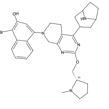 CN1CCC[C@H]1COc1nc2c(c(C3CC4CCC(C3)N4)n1)CCN(c1cc(O)c(Br)c3ccccc13)C2